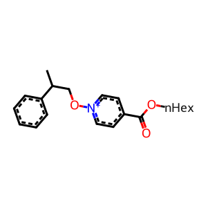 CCCCCCOC(=O)c1cc[n+](OCC(C)c2ccccc2)cc1